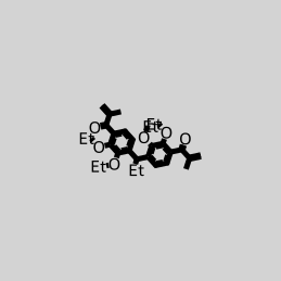 C=C(C)C(=O)c1ccc(C(CC)c2ccc(C(=O)C(=C)C)c(OCC)c2OCC)c(OCC)c1OCC